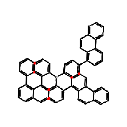 c1ccc(-c2cccc3cccc(-c4ccccc4N(c4ccc(-c5cccc6c5ccc5ccccc56)cc4)c4ccccc4-c4cccc5c4ccc4ccccc45)c23)cc1